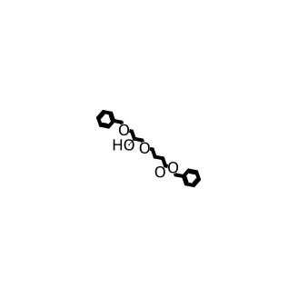 O=C(CCCOC[C@H](O)COCc1ccccc1)OCc1ccccc1